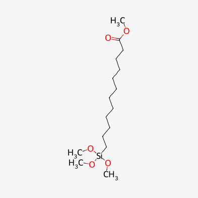 COC(=O)CCCCCCCCCCC[Si](OC)(OC)OC